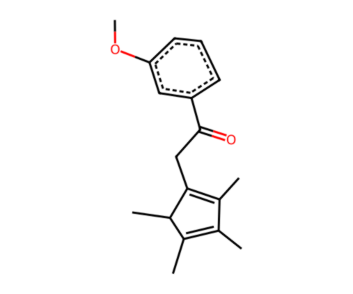 COc1cccc(C(=O)CC2=C(C)C(C)=C(C)C2C)c1